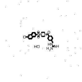 Cl.N=C(N)NCC1CCC(C(=O)N2CCN(S(=O)(=O)c3ccc4cc(Cl)ccc4c3)CC2)CC1